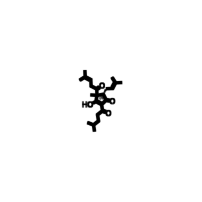 CC(C)=CCC(=O)C1(C)C(O)=C(C(=O)CCC(C)C)C(=O)[C@H]1CC=C(C)C